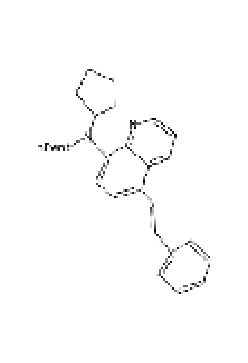 CCCCCN(c1ccc(C=Cc2ccccc2)c2cccnc12)C1CCCC1